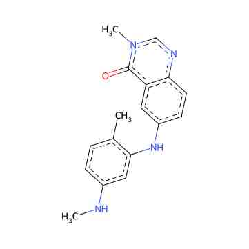 CNc1ccc(C)c(Nc2ccc3ncn(C)c(=O)c3c2)c1